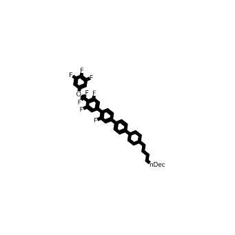 CCCCCCCCCCCCCCC1CCC(c2ccc(-c3ccc(-c4cc(F)c(C(F)(F)Oc5cc(F)c(F)c(F)c5)c(F)c4)c(F)c3)cc2)CC1